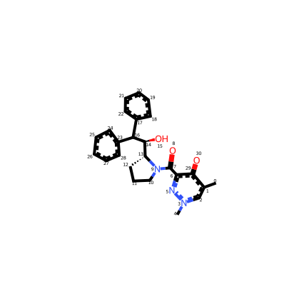 Cc1cn(C)nc(C(=O)N2CCC[C@@H]2[C@H](O)C(c2ccccc2)c2ccccc2)c1=O